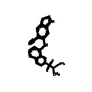 CC(C)S(=O)(=O)c1ccc2nccc(Nc3cc4[nH]ncc4cc3C#N)c2c1